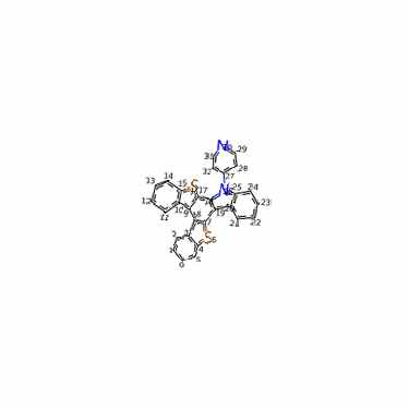 c1ccc2c(c1)sc1c2c2c3ccccc3sc2c2c1c1ccccc1n2-c1ccncc1